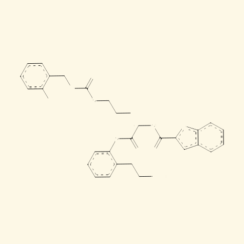 O=C(O)CCc1ccccc1NC(=O)[C@H](CCCNC(=O)OCc1ccccc1Cl)NC(=O)c1cc2ccccc2o1